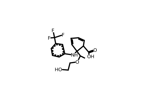 CC(OCCO)C1(Nc2cccc(C(F)(F)F)c2)C=CC=CC1C(=O)O